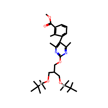 COC(=O)c1cccc(-c2c(C)nc(OCC(CO[Si](C)(C)C(C)(C)C)CO[Si](C)(C)C(C)(C)C)nc2C)c1C